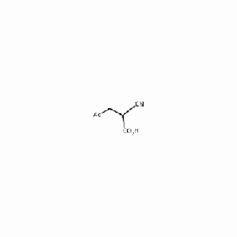 CC(=O)CC(C#N)C(=O)O